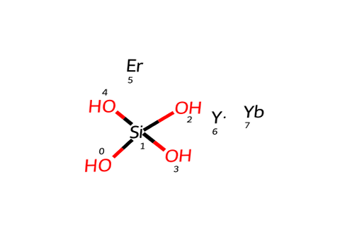 O[Si](O)(O)O.[Er].[Y].[Yb]